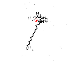 CCCCCCCCCCCCC[SiH]1O[SiH2][SiH2][SiH2][SiH2]1